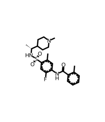 Cc1ccccc1C(=O)Nc1cc(C)c(S(=O)(=O)N[C@H](C)C2CCN(C)CC2)cc1F